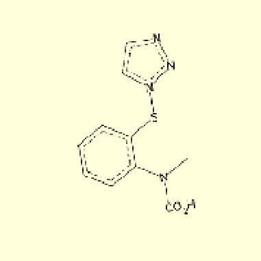 CN(C(=O)O)c1ccccc1Sn1ccnn1